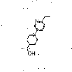 CCc1ccc(N2CCC([C@H](C)O)CC2)cn1